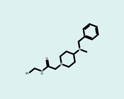 CC(C)CNC(=O)CN1CCC(N(C)Cc2ccccc2)CC1